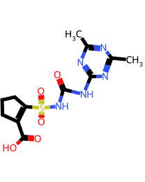 Cc1nc(C)nc(NC(=O)NS(=O)(=O)C2=C(C(=O)O)CCC2)n1